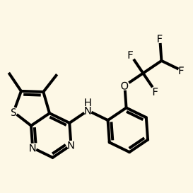 Cc1sc2ncnc(Nc3ccccc3OC(F)(F)C(F)F)c2c1C